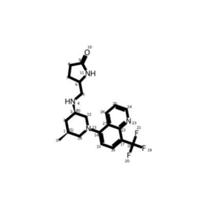 C[C@H]1C[C@@H](NCC2CCC(=O)N2)CN(c2ccc(C(F)(F)F)c3ncccc23)C1